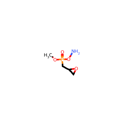 COP(=O)(CC1CO1)ON